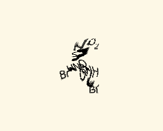 CC(OP(=O)(NCCBr)NCCBr)c1ccc([N+](=O)[O-])s1